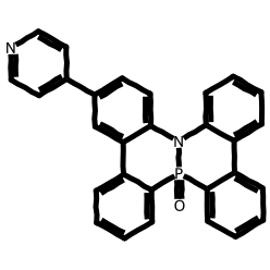 O=P12c3ccccc3-c3ccccc3N1c1ccc(-c3ccncc3)cc1-c1ccccc12